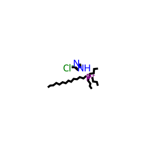 CCCCCCCCCCCCCC[P+](CCCC)(CCCC)CCCC.Cc1c[nH]cn1.[Cl-]